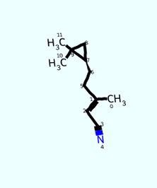 C/C(=C\C#N)CC[C@@H]1CC1(C)C